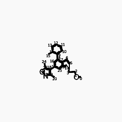 COCCn1ccc2c(-c3ccccc3C)cc(-c3c(C)noc3C)cc21